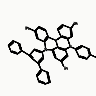 CC(C)c1ccc(N2c3cc(C(C)C)ccc3B3c4ccc(C(C)C)cc4N(c4cc(-c5ccccc5)cc(-c5ccccc5)c4)c4cc(C(C)C)cc2c43)cc1